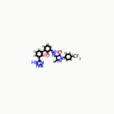 CC1=NN(c2ccc(C(F)(F)F)cc2)C(=O)C1=NNc1cccc(-c2cccc(-c3nnn[nH]3)c2)c1O